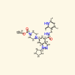 C=C1NC(C)=CC(C)=C1CNC(=O)c1cc(N2CCN(C(=O)OC(C)(C)C)CC2)cc2c1cnn2C1CCCC1